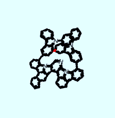 c1ccc(-n2c3ccccc3c3cc(-c4cccc5c6c7ccccc7cc7c8c9c%10cccc%11c%12cccc(-c%13ccc%14c(c%13)c%13ccccc%13n%14-c%13ccccc%13)c%12n(c9ncc8n(c45)c76)c%11%10)ccc32)cc1